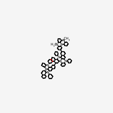 CN1c2ccccc2B2c3cc(-c4ccc5cc6c7c(c5c4)N(c4ccccc4)c4c(cc(-c5ccc8cc9c%10c(c8c5)N(c5ccccc5)c5ccccc5B%10c5ccc8ccccc8c5N9c5ccccc5)c5ccccc45)B7c4ccccc4N6c4ccccc4)ccc3N(C)c3cccc1c32